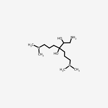 CN(C)CCCC(O)(CCCN(C)C)C(O)CN